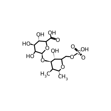 CC1[C@@H](O[C@@H]2OC(C(=O)O)[C@@H](O)[C@H](O)C2O)[C@H](O)C(COS(=O)(=O)O)O[C@@H]1C